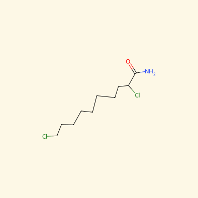 NC(=O)C(Cl)CCCCCCCCCl